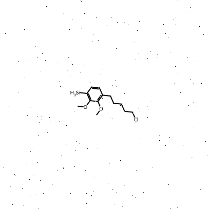 COc1c([SiH3])ccc(CCCCCCl)c1OC